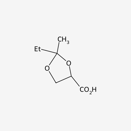 CCC1(C)OCC(C(=O)O)O1